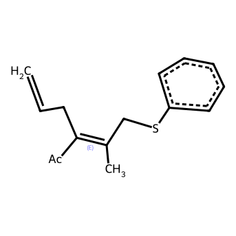 C=CC/C(C(C)=O)=C(/C)CSc1ccccc1